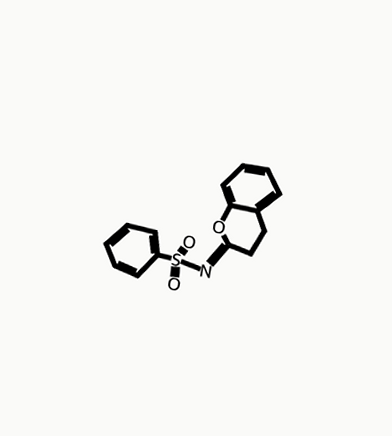 O=S(=O)(N=C1CCc2ccccc2O1)c1ccccc1